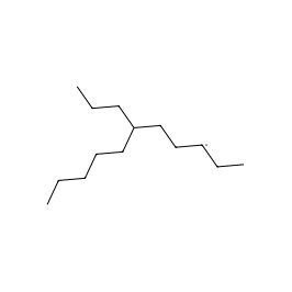 CC[CH]CCC(CCC)CCCCC